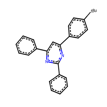 CC(C)(C)c1ccc(-c2cc(-c3ccccc3)nc(-c3ccccc3)n2)cc1